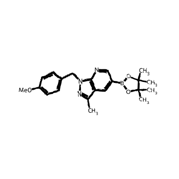 COc1ccc(Cn2nc(C)c3cc(B4OC(C)(C)C(C)(C)O4)cnc32)cc1